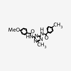 COc1ccc(C(=O)Nc2nc(C)nc(NC(=O)c3ccc(C)cc3)n2)cc1